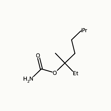 CCC(C)(CCC(C)C)OC(N)=O